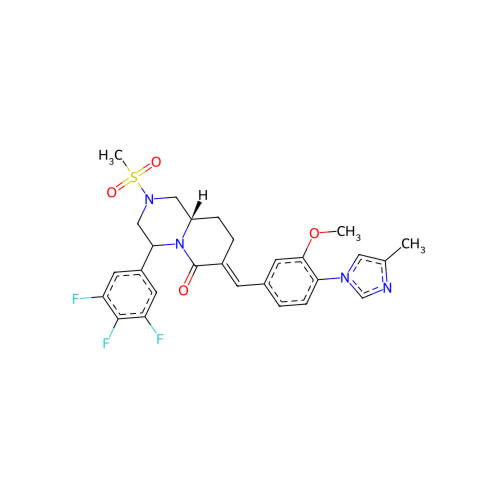 COc1cc(C=C2CC[C@H]3CN(S(C)(=O)=O)CC(c4cc(F)c(F)c(F)c4)N3C2=O)ccc1-n1cnc(C)c1